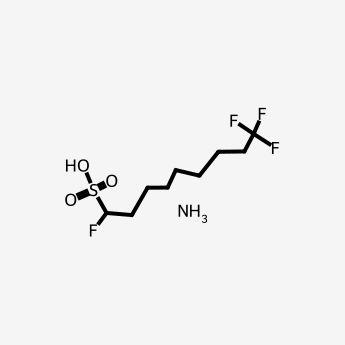 N.O=S(=O)(O)C(F)CCCCCCCC(F)(F)F